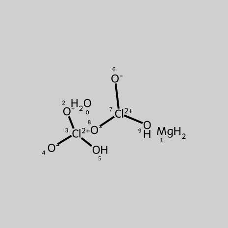 O.[MgH2].[O-][Cl+2]([O-])O.[O-][Cl+2]([O-])O